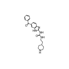 O=C(NCCC1CCNCC1)Nc1nc2ccc(C(=O)c3ccccc3)cc2[nH]1